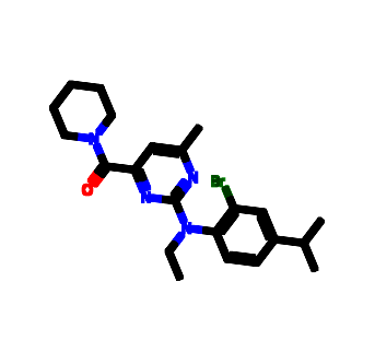 CCN(c1nc(C)cc(C(=O)N2CCCCC2)n1)c1ccc(C(C)C)cc1Br